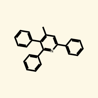 Cc1cc(-c2ccccc2)nc(-c2ccccc2)c1-c1ccccc1